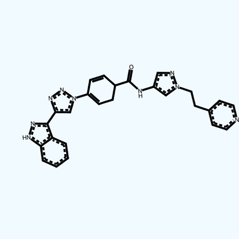 O=C(Nc1cnn(CCc2ccncc2)c1)C1C=CC(n2cc(-c3n[nH]c4ccccc34)nn2)=CC1